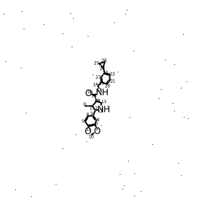 CC1C(c2ccc3c(c2)OCO3)NC[C@@H]1C(=O)NCc1cccc(C2CC2)c1